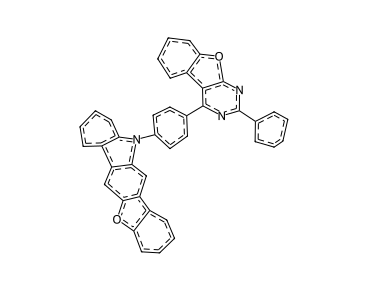 c1ccc(-c2nc(-c3ccc(-n4c5ccccc5c5cc6oc7ccccc7c6cc54)cc3)c3c(n2)oc2ccccc23)cc1